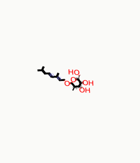 CC(C)=C/C=C/C(C)=C/COC1O[C@H](CO)[C@@H](O)[C@H](O)[C@H]1C